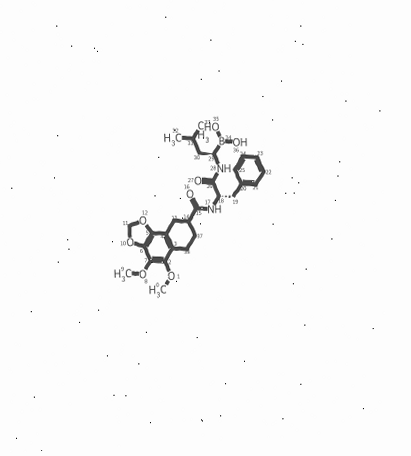 COc1c2c(c3c(c1OC)OCO3)CC(C(=O)N[C@@H](Cc1ccccc1)C(=O)N[C@@H](CC(C)C)B(O)O)CC2